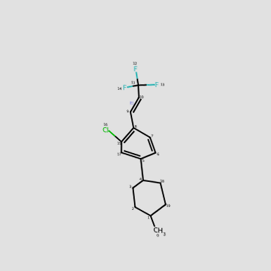 CC1CCC(c2ccc(/C=C/C(F)(F)F)c(Cl)c2)CC1